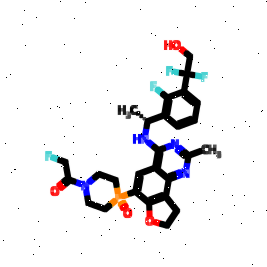 Cc1nc(N[C@H](C)c2cccc(C(F)(F)CO)c2F)c2cc(P3(=O)CCN(C(=O)CF)CC3)c3c(c2n1)CCO3